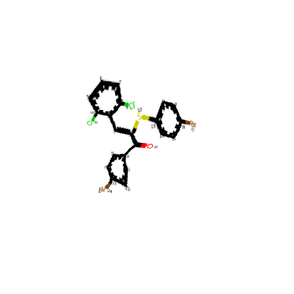 O=C(/C(=C/c1c(Cl)cccc1Cl)Sc1ccc(Br)cc1)c1ccc(Br)cc1